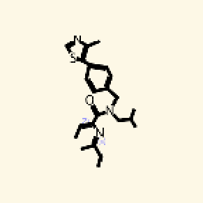 C/C=C(\N=C(/C)CC)C(=O)N(Cc1ccc(-c2scnc2C)cc1)CC(C)C